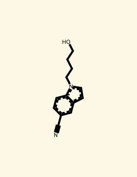 N#Cc1ccc2c(ccn2CCCCO)c1